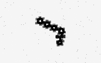 O=C(Nc1cccc(-[n+]2ccc(-c3cc[n+](-c4ccccc4)cc3)cc2)c1)c1cccs1